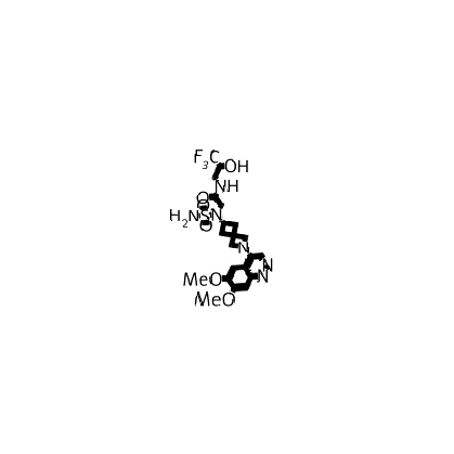 COc1cc2nncc(N3CC4(CC(N(CC(=O)NCC(O)C(F)(F)F)S(N)(=O)=O)C4)C3)c2cc1OC